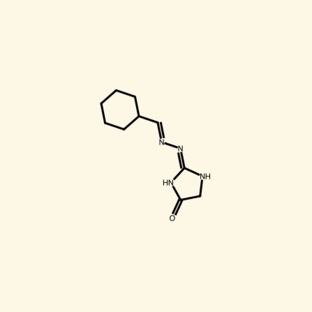 O=C1CNC(=NN=CC2CCCCC2)N1